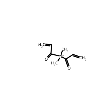 C=CC(=O)[N+](C)(C)C(=O)C=C